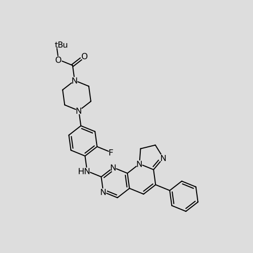 CC(C)(C)OC(=O)N1CCN(c2ccc(Nc3ncc4c(n3)N3CCN=C3C(c3ccccc3)=C4)c(F)c2)CC1